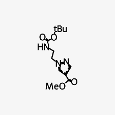 COC(=O)c1cnn(CCNC(=O)OC(C)(C)C)c1